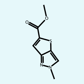 COC(=O)c1cc2nn(C)cc2s1